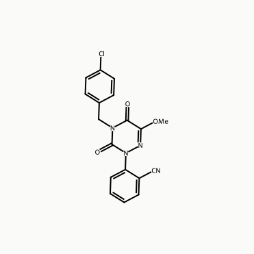 COc1nn(-c2ccccc2C#N)c(=O)n(Cc2ccc(Cl)cc2)c1=O